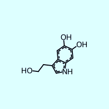 OCCc1c[nH]c2cc(O)c(O)cc12